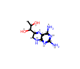 CC(O)C(O)C1=Nc2c(N)nc(N)nc2NC1